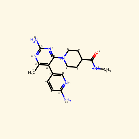 CNC(=O)C1CCN(c2nc(N)nc(C)c2-c2ccc(N)nc2)CC1